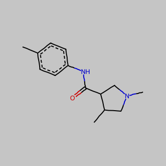 Cc1ccc(NC(=O)C2CN(C)CC2C)cc1